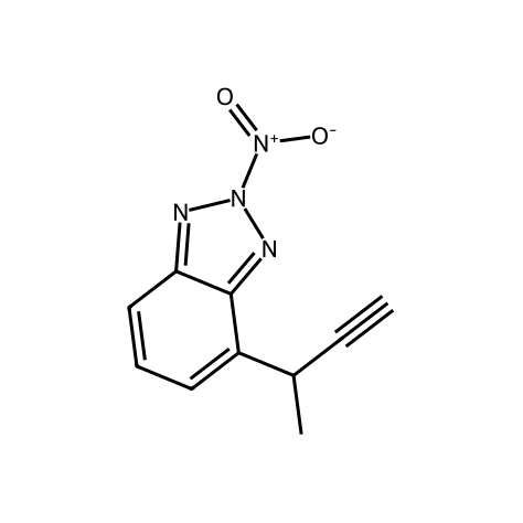 C#CC(C)c1cccc2nn([N+](=O)[O-])nc12